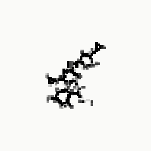 CC(Nc1nc(Nc2cc(C3CC3)[nH]n2)nc(C2CC2)n1)c1ccc(F)cc1F